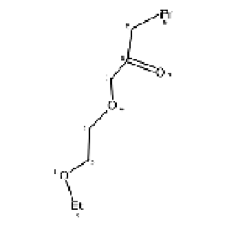 CCOCCOCC(=O)CC(C)C